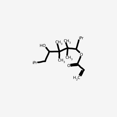 C=CC(=O)OC(C(C)C)C(C)(C)C(C)(C)C(O)CC(C)C